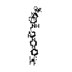 O=[N+]([O-])c1cn2c(n1)OC[C@@H](NCN1C=NC(N3CCN(c4ccc(OC(F)(F)F)cc4)CC3)=CC1)C2